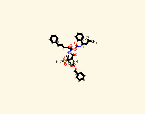 CC(C)CC(NC(=O)OC1(NC(=O)[C@H](NC(=O)OCc2ccccc2)C(C)(C)S(C)(=O)=O)O[C@@H]1CCCc1ccccc1)c1ccccc1